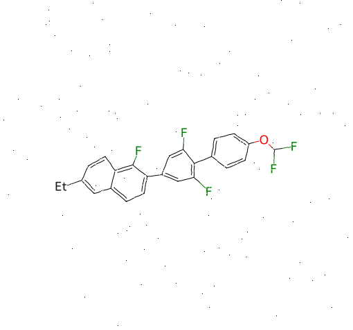 CCc1ccc2c(F)c(-c3cc(F)c(-c4ccc(OC(F)F)cc4)c(F)c3)ccc2c1